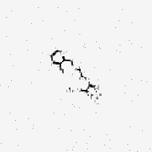 CNC1=NS(=O)(=O)N=C1NCCSCc1ncccc1N